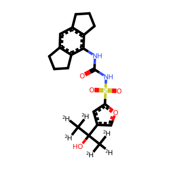 [2H]C([2H])([2H])C(O)(c1coc(S(=O)(=O)NC(=O)Nc2c3c(cc4c2CCC4)CCC3)c1)C([2H])([2H])[2H]